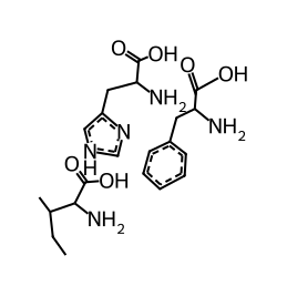 CCC(C)C(N)C(=O)O.NC(Cc1c[nH]cn1)C(=O)O.NC(Cc1ccccc1)C(=O)O